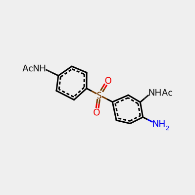 CC(=O)Nc1ccc(S(=O)(=O)c2ccc(N)c(NC(C)=O)c2)cc1